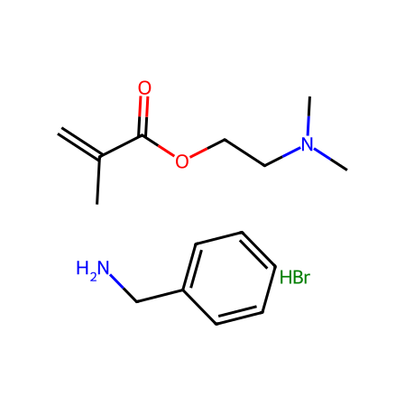 Br.C=C(C)C(=O)OCCN(C)C.NCc1ccccc1